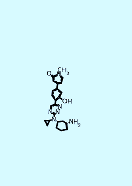 Cn1ccc(-c2ccc(-c3cnc(N(C4CC4)[C@H]4CCC[C@@H](N)C4)nn3)c(O)c2)cc1=O